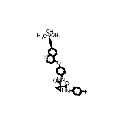 CS(C)(C)C#Cc1ccc2c(Oc3ccc(NC(=O)C4(C(=O)Nc5ccc(F)cc5)CC4)cc3)ccnc2c1